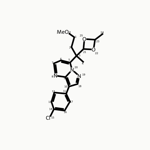 COCCC(C)(c1ccnc2c(-c3ccc(Cl)cc3)cnn12)C1OC(C)O1